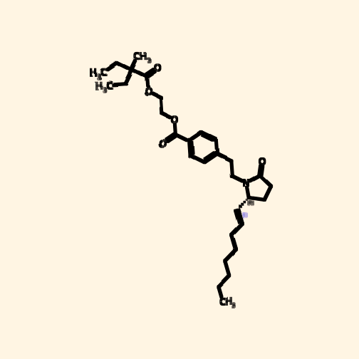 CCCCCC/C=C/[C@H]1CCC(=O)N1CCc1ccc(C(=O)OCCOC(=O)C(C)(CC)CC)cc1